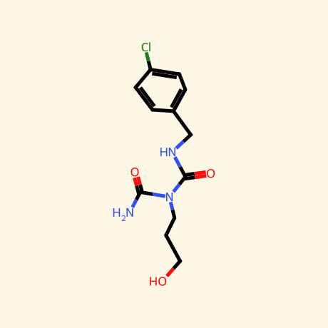 NC(=O)N(CCCO)C(=O)NCc1ccc(Cl)cc1